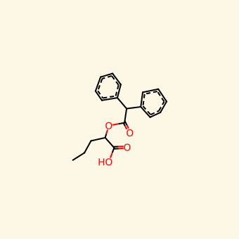 CCCC(OC(=O)C(c1ccccc1)c1ccccc1)C(=O)O